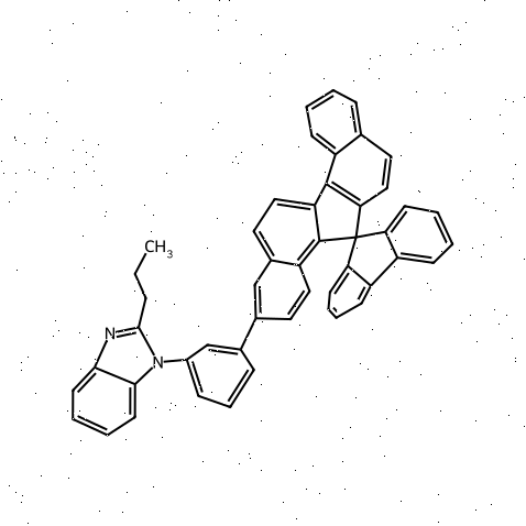 CCCc1nc2ccccc2n1-c1cccc(-c2ccc3c4c(ccc3c2)-c2c(ccc3ccccc23)C42c3ccccc3-c3ccccc32)c1